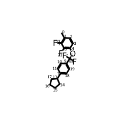 Cc1ccc(OC(F)(F)c2ccc(C3CCCC3)cc2)c(F)c1F